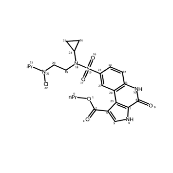 CCCOC(=O)c1c[nH]c2c(=O)[nH]c3ccc(S(=O)(=O)N(CCN(Cl)C(C)C)C4CC4)cc3c12